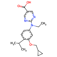 CCN(c1ccc(C(C)C)c(OCC2CC2)c1)c1ncc(C(=O)O)cn1